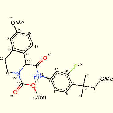 COCC(C)(C)c1ccc(NC(=O)C2c3ccc(OC)cc3CCN2C(=O)OC(C)(C)C)cc1F